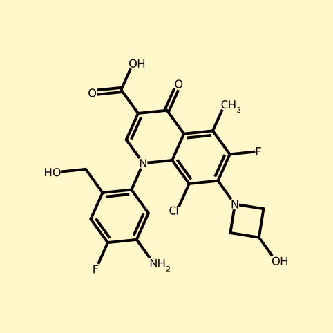 Cc1c(F)c(N2CC(O)C2)c(Cl)c2c1c(=O)c(C(=O)O)cn2-c1cc(N)c(F)cc1CO